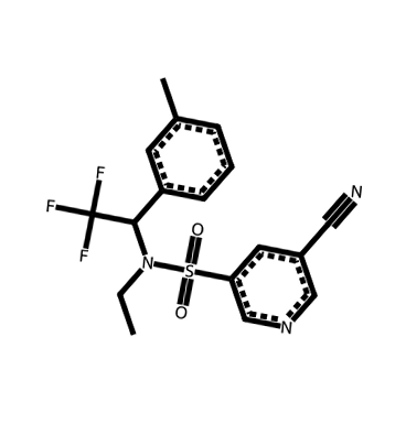 CCN(C(c1cccc(C)c1)C(F)(F)F)S(=O)(=O)c1cncc(C#N)c1